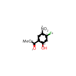 COC(=O)c1cc([N+](=O)[O-])c(F)cc1O